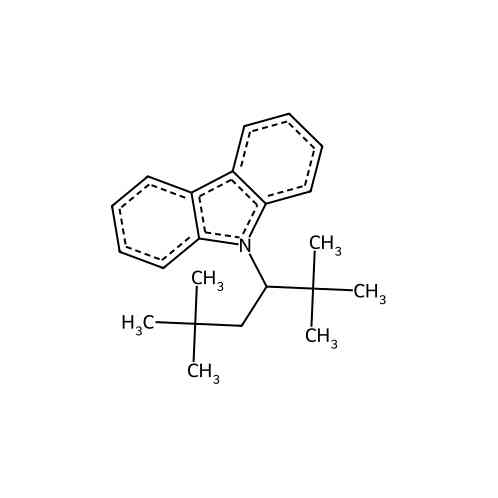 CC(C)(C)CC(n1c2ccccc2c2ccccc21)C(C)(C)C